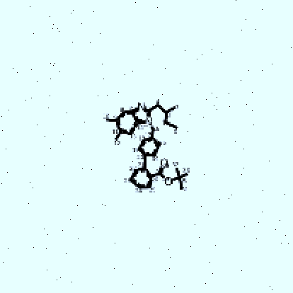 CCC(C)Cc1nc2cc(C)c(C)cc2n1Cc1ccc(-c2ccccc2C(=O)OC(C)(C)C)cc1